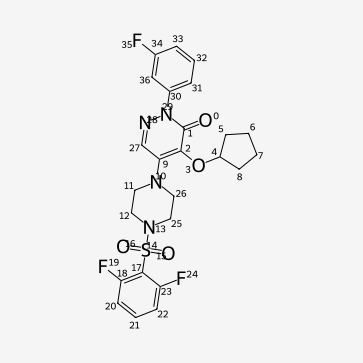 O=c1c(OC2CCCC2)c(N2CCN(S(=O)(=O)c3c(F)cccc3F)CC2)cnn1-c1cccc(F)c1